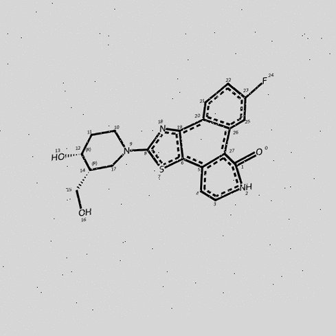 O=c1[nH]ccc2c3sc(N4CC[C@@H](O)[C@@H](CO)C4)nc3c3ccc(F)cc3c12